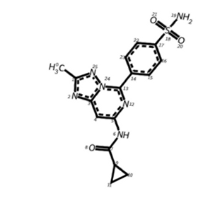 Cc1nc2cc(NC(=O)C3CC3)nc(-c3ccc(S(N)(=O)=O)cc3)n2n1